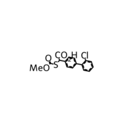 COC(=O)SC(C(=O)O)c1ccc(-c2ccccc2Cl)cc1